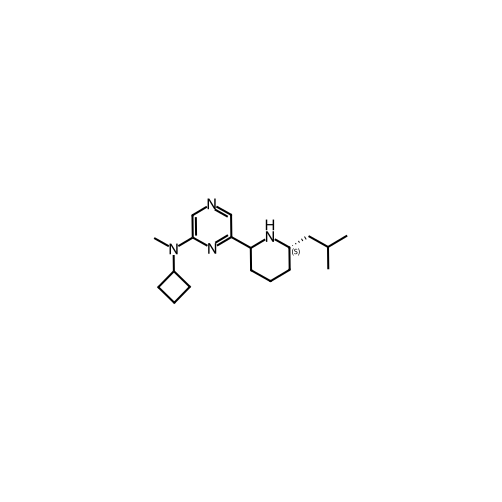 CC(C)C[C@@H]1CCCC(c2cncc(N(C)C3CCC3)n2)N1